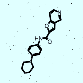 O=C(Nc1ccc(C2CCCCC2)cc1)c1cc2cnccc2o1